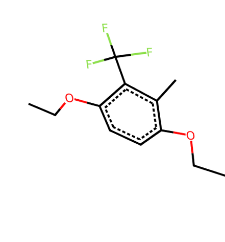 C=CCOc1ccc(OCC)c(C(F)(F)F)c1C